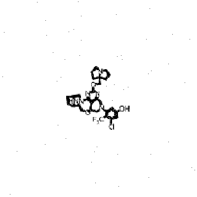 Oc1cc(Cl)c(C(F)(F)F)c(N2Cc3nc(OCC45CCCN4CCC5)nc4c3C(C2)OCC2C3CCC(CN42)N3)c1